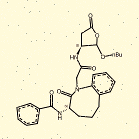 CCCCOC1OC(=O)C[C@@H]1NC(=O)CN1C(=O)[C@@H](NC(=O)c2ccccc2)CCCc2ccccc21